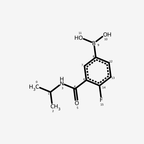 CC(C)NC(=O)c1cc(B(O)O)ccc1F